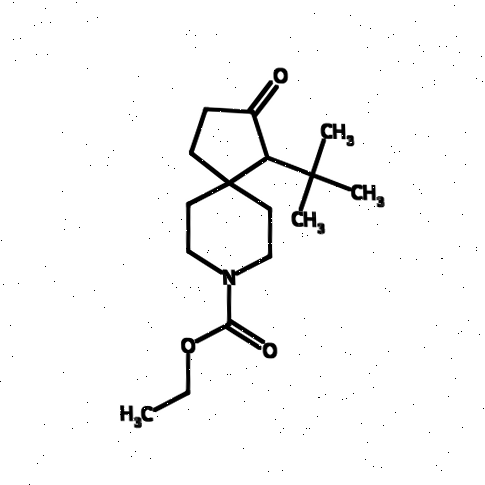 CCOC(=O)N1CCC2(CCC(=O)C2C(C)(C)C)CC1